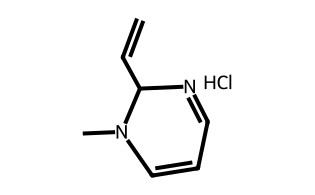 C=CC1N=CC=CN1C.Cl